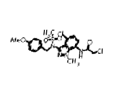 COc1ccc(CN(c2nn(C)c3c(NC(=O)CCl)ccc(Cl)c23)S(C)(=O)=O)cc1